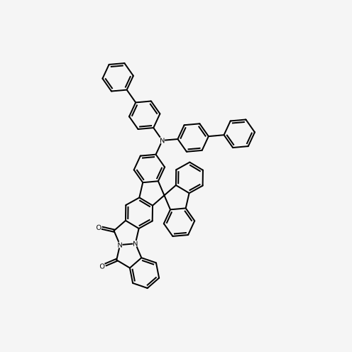 O=c1c2ccccc2n2c3cc4c(cc3c(=O)n12)-c1ccc(N(c2ccc(-c3ccccc3)cc2)c2ccc(-c3ccccc3)cc2)cc1C41c2ccccc2-c2ccccc21